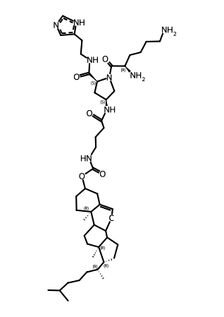 CC(C)CCC[C@@H](C)[C@H]1CCC2C3CC=C4CC(OC(=O)NCCCC(=O)N[C@H]5C[C@@H](C(=O)NCCc6cnc[nH]6)N(C(=O)[C@H](N)CCCCN)C5)CC[C@]4(C)C3CC[C@@]21C